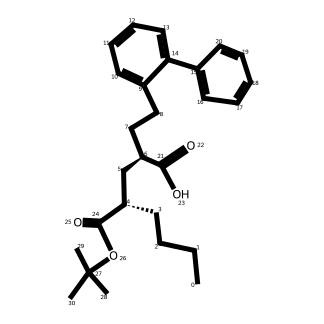 CCCC[C@@H](C[C@@H](CCc1ccccc1-c1ccccc1)C(=O)O)C(=O)OC(C)(C)C